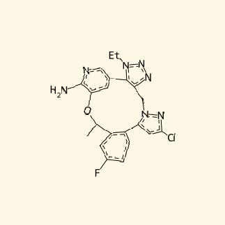 CCn1nnc2c1-c1cnc(N)c(c1)OC(C)c1cc(F)ccc1-c1cc(Cl)nn1C2